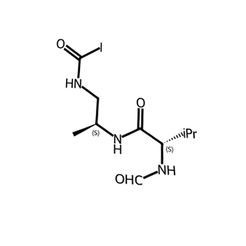 CC(C)[C@H](NC=O)C(=O)N[C@@H](C)CNC(=O)I